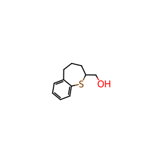 OCC1CCCc2ccccc2S1